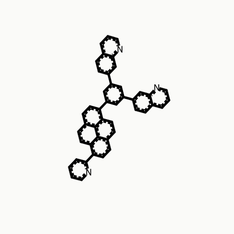 c1ccc(-c2ccc3ccc4c(-c5cc(-c6ccc7cccnc7c6)cc(-c6ccc7cccnc7c6)c5)ccc5ccc2c3c54)nc1